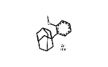 Br.COc1ccccc1C12CC3CC(CC(C3)C1)C2.[Zn]